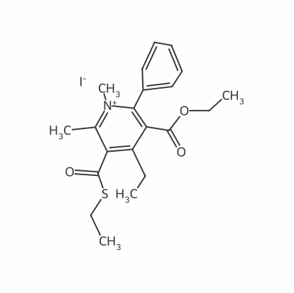 CCOC(=O)c1c(CC)c(C(=O)SCC)c(C)[n+](C)c1-c1ccccc1.[I-]